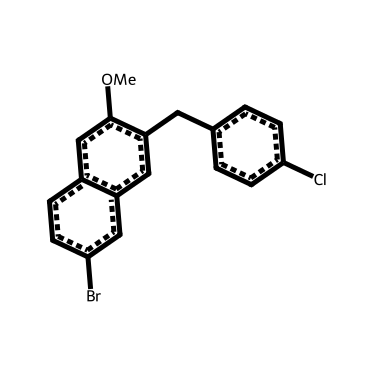 COc1cc2ccc(Br)cc2cc1Cc1ccc(Cl)cc1